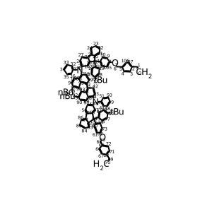 C=Cc1ccc(COc2ccc(C3(c4ccc(C(C)(C)C)cc4)c4ccccc4-c4ccc(N(c5ccccc5)c5ccc(-c6ccc(N(c7ccccc7)c7ccc8c(c7)C(c7ccc(OCc9ccc(C=C)cc9)cc7)(c7ccc(C(C)(C)C)cc7)c7ccccc7-8)c7ccc(CCCC)cc67)c6cc(CCCC)ccc56)cc43)cc2)cc1